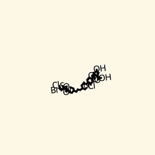 O=C(O)C1CC(O)CN1S(=O)(=O)c1ccc(N2CCC(CCCC3CCN(S(=O)(=O)c4cc(Br)c(Cl)s4)CC3)CC2)c(Cl)c1